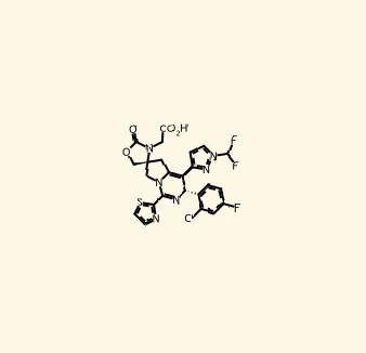 O=C(O)CN1C(=O)OC[C@]12CC1=C(c3ccn(C(F)F)n3)[C@H](c3ccc(F)cc3Cl)N=C(c3nccs3)N1C2